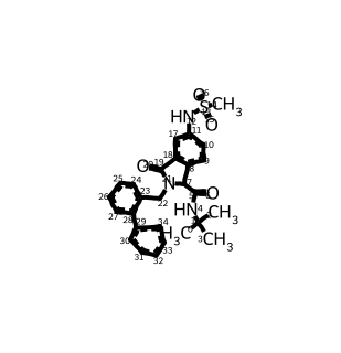 CC(C)(C)NC(=O)C1c2ccc(NS(C)(=O)=O)cc2C(=O)N1Cc1ccccc1-c1ccccc1